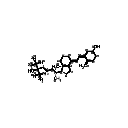 [2H]C([2H])([2H])C(O)(CCC[C@@H](C)[C@H]1CCC2C(=C/C=C3/C[C@@H](O)CCC3=C)CCC[C@@]21C)C([2H])([2H])[2H]